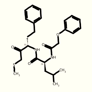 CSCC(=O)[C@H](CCc1ccccc1)NC(=O)[C@H](CC(C)C)NC(=O)COc1ccccc1